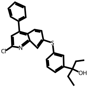 CCC(O)(CC)c1cccc(Sc2ccc3c(-c4ccccc4)cc(Cl)nc3c2)c1